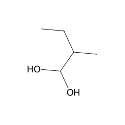 CCC(C)C(O)O